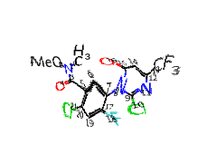 CON(C)C(=O)c1cc(-n2c(Cl)nc(C(F)(F)F)cc2=O)c(F)cc1Cl